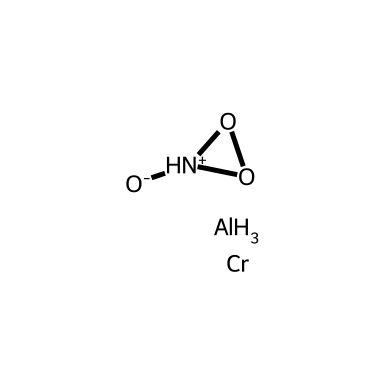 [AlH3].[Cr].[O-][NH+]1OO1